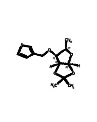 C[C@H]1O[C@@H]2OC(C)(C)O[C@@H]2[C@H]1OCc1ccsc1